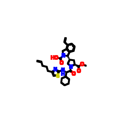 C=CCCCc1csc(N[C@H](C(=O)N2C[C@H](C3c4cccc(C=C)c4CN3C(=O)O)C[C@H]2C(=O)OC)C2CCCCC2)n1